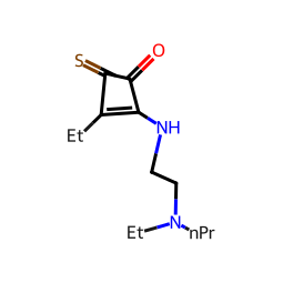 CCCN(CC)CCNc1c(CC)c(=S)c1=O